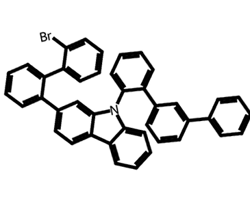 Brc1ccccc1-c1ccccc1-c1ccc2c3ccccc3n(-c3ccccc3-c3cccc(-c4ccccc4)c3)c2c1